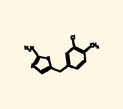 Cc1ccc(Cc2cnc(N)s2)cc1Cl